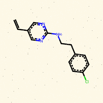 C=Cc1cnc(NCCc2ccc(Cl)cc2)nc1